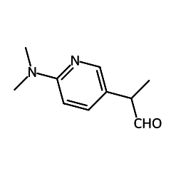 CC(C=O)c1ccc(N(C)C)nc1